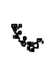 O=C(O)COCC(=O)NCCN1CC[C@H](Nc2ncnc3ccc(C(F)(F)F)cc23)C1=O